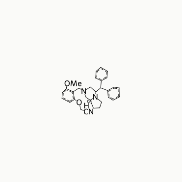 COc1cccc(OCC#N)c1CN1CC(C(c2ccccc2)c2ccccc2)N2CCC[C@H]2C1